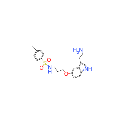 Cc1ccc(S(=O)(=O)NCCCOc2ccc3[nH]cc(CCN)c3c2)cc1